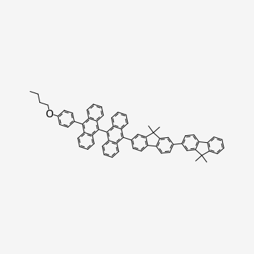 CCCCOc1ccc(-c2c3ccccc3c(-c3c4ccccc4c(-c4ccc5c(c4)C(C)(C)c4cc(-c6ccc7c(c6)C(C)(C)c6ccccc6-7)ccc4-5)c4ccccc34)c3ccccc23)cc1